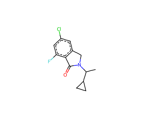 CC(C1CC1)N1Cc2cc(Cl)cc(F)c2C1=O